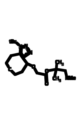 CNCC(C)(C)OC(=O)COC1CCCCCc2c1nnn2C(C)(C)C